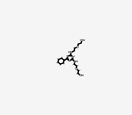 OCCOCCNc1nc(NCCOCCO)nc(C2CCCCC2)n1